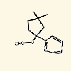 CC1(C)CCC(OC=O)(c2ccccc2)C1